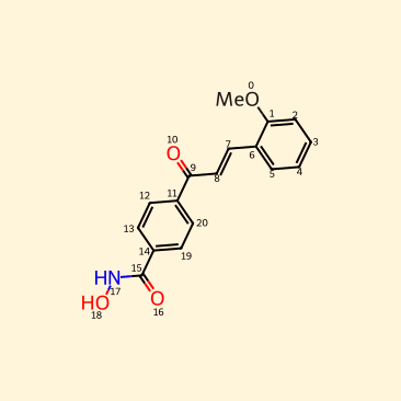 COc1ccccc1C=CC(=O)c1ccc(C(=O)NO)cc1